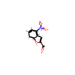 O=Cc1cc2c([N+](=O)[O-])cccc2o1